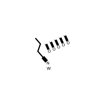 CCCC#N.[C]=O.[C]=O.[C]=O.[C]=O.[C]=O.[W]